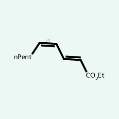 CCCCC/C=C\C=CC(=O)OCC